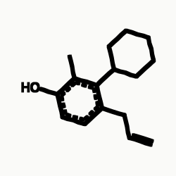 C=CCc1ccc(O)c(C)c1C1CCCCC1